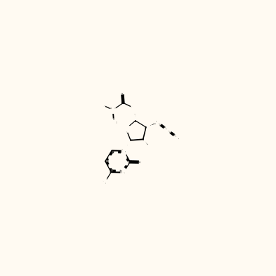 [N-]=[N+]=N[C@@H]1[C@@H](OC(=O)P(O)O)O[C@@H](n2ccc(N)nc2=O)[C@@H]1O